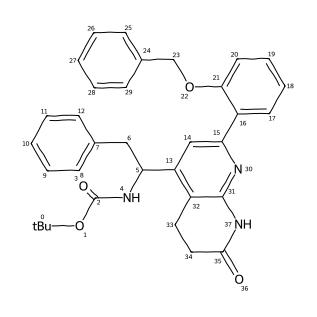 CC(C)(C)OC(=O)NC(Cc1ccccc1)c1cc(-c2ccccc2OCc2ccccc2)nc2c1CCC(=O)N2